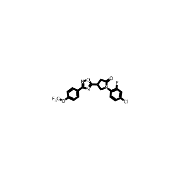 O=C1CC(c2nc(-c3ccc(OC(F)(F)F)cc3)no2)CN1c1ccc(Cl)cc1F